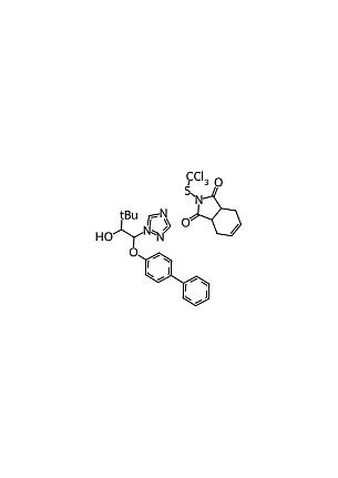 CC(C)(C)C(O)C(Oc1ccc(-c2ccccc2)cc1)n1cncn1.O=C1C2CC=CCC2C(=O)N1SC(Cl)(Cl)Cl